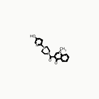 Cn1cc(C(=O)N2CCN(c3ccc(O)cn3)CC2)c(=O)c2ccccc21